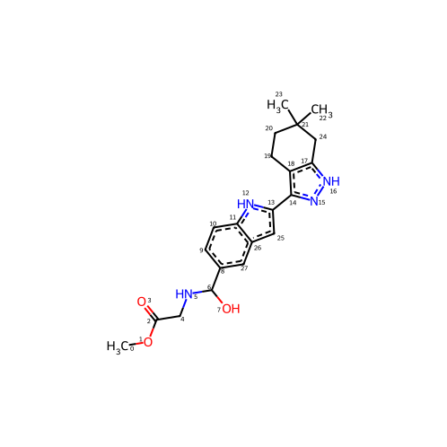 COC(=O)CNC(O)c1ccc2[nH]c(-c3n[nH]c4c3CCC(C)(C)C4)cc2c1